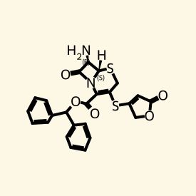 N[C@@H]1C(=O)N2C(C(=O)OC(c3ccccc3)c3ccccc3)=C(SC3=CC(=O)OC3)CS[C@@H]12